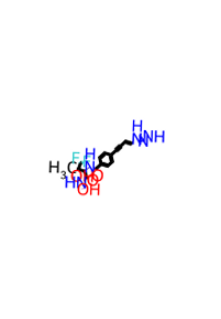 CC(O)(C(F)F)[C@H](NC(=O)c1ccc(C#C/C=C/NN=N)cc1)C(=O)NO